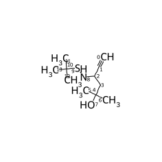 C#CC(CC(C)(C)O)NSC(C)(C)C